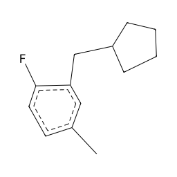 Cc1ccc(F)c(CC2CCCC2)c1